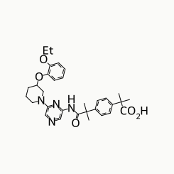 CCOc1ccccc1OC1CCCN(c2cncc(NC(=O)C(C)(C)c3ccc(C(C)(C)C(=O)O)cc3)n2)C1